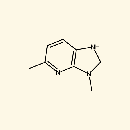 Cc1ccc2c(n1)N(C)CN2